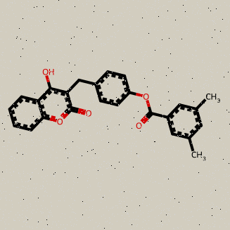 Cc1cc(C)cc(C(=O)Oc2ccc(Cc3c(O)c4ccccc4oc3=O)cc2)c1